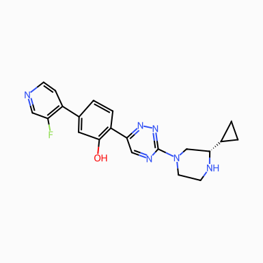 Oc1cc(-c2ccncc2F)ccc1-c1cnc(N2CCN[C@@H](C3CC3)C2)nn1